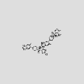 Cc1cc2n(-c3nc(Cl)sc3S(=O)(=O)N3CCC(c4cn5ncnc5cc4C)CC3)cn[n+]2cc1C1CCN(S(=O)(=O)c2cnn(C)c2Br)CC1